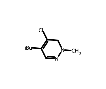 CCC(C)C1=C(Cl)CN(C)N=C1